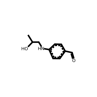 CC(O)CNc1ccc(C=O)cc1